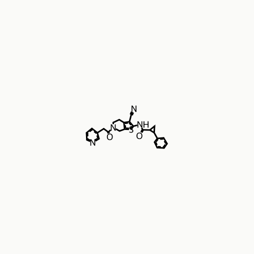 N#Cc1c(NC(=O)C2CC2c2ccccc2)sc2c1CCN(C(=O)Cc1cccnc1)C2